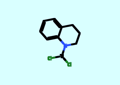 [Cl][Ti]([Cl])[N]1CCCc2ccccc21